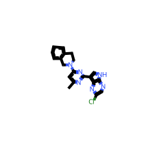 Cc1cc(N2CCc3ccccc3C2)nc(-c2c[nH]c3ncc(Cl)nc23)n1